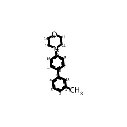 Cc1cccc(-c2ccc(N3CCOCC3)cc2)c1